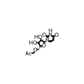 CC(=O)COC[C@H]1O[C@@H](n2ccc(=O)[nH]c2=O)[C@H](O)[C@@H]1O